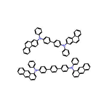 c1ccc(N(c2ccc(-c3ccc(-c4ccc(N(c5ccccc5)c5cccc6cc7ccccc7cc56)cc4)cc3)cc2)c2cccc3cc4ccccc4cc23)cc1.c1ccc(N(c2ccc(-c3ccc(N(c4ccccc4)c4ccc5c(ccc6ccccc65)c4)cc3)cc2)c2ccc3c(ccc4ccccc43)c2)cc1